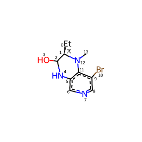 CC[C@@H]1C(O)Nc2cncc(Br)c2N1C